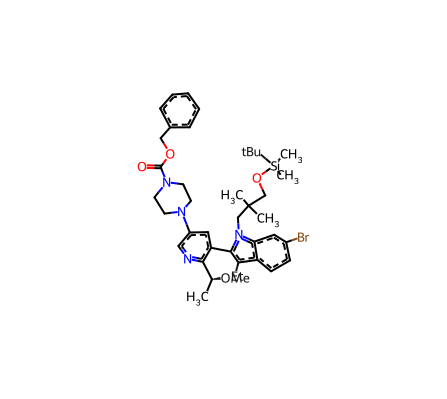 CCc1c(-c2cc(N3CCN(C(=O)OCc4ccccc4)CC3)cnc2[C@H](C)OC)n(CC(C)(C)CO[Si](C)(C)C(C)(C)C)c2cc(Br)ccc12